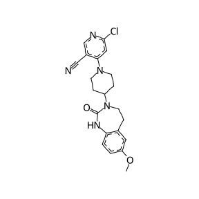 COc1ccc2c(c1)CCN(C1CCN(c3cc(Cl)ncc3C#N)CC1)C(=O)N2